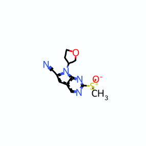 C[S+]([O-])c1ncc2cc(C#N)n(C3CCOC3)c2n1